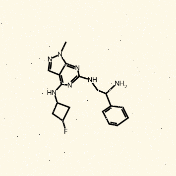 Cn1ncc2c(NC3CC(F)C3)nc(NCC(N)c3ccccc3)nc21